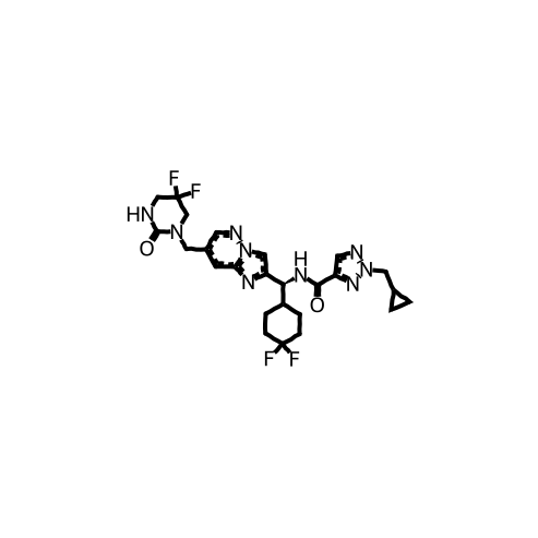 O=C(N[C@H](c1cn2ncc(CN3CC(F)(F)CNC3=O)cc2n1)C1CCC(F)(F)CC1)c1cnn(CC2CC2)n1